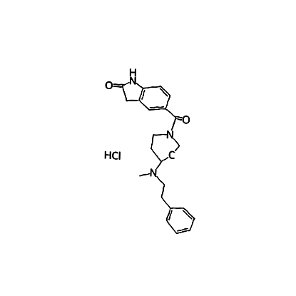 CN(CCc1ccccc1)C1CCN(C(=O)c2ccc3c(c2)CC(=O)N3)CC1.Cl